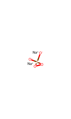 [Na+].[Na+].[O-]S1([O-])OO1